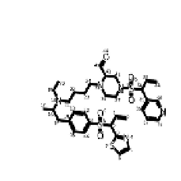 C=CC(c1nccs1)S(=O)(=O)c1ccc(CC(C)N(CC)CCCCN2CCN(S(=O)(=O)C(C=C)c3cccnc3)CC2C=O)cc1